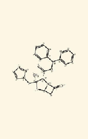 C[C@@]1(Cn2ccnn2)SC2CC(=O)N2[C@H]1C(=O)OC(c1ccccc1)c1ccccc1